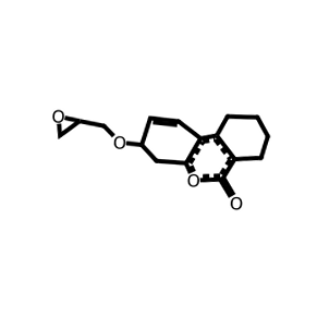 O=c1oc2c(c3c1CCCC3)C=CC(OCC1CO1)C2